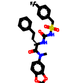 CN(C(=O)[C@H](CCc1ccccc1)NC(=O)NS(=O)(=O)Cc1ccc(C(F)(F)F)cc1)c1ccc2c(c1)OCO2